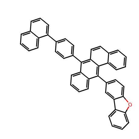 c1ccc2c(-c3ccc(-c4c5ccccc5c(-c5ccc6oc7ccccc7c6c5)c5c4ccc4ccccc45)cc3)cccc2c1